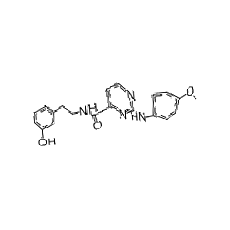 COc1ccc(Nc2nccc(C(=O)NCCc3cccc(O)c3)n2)cc1